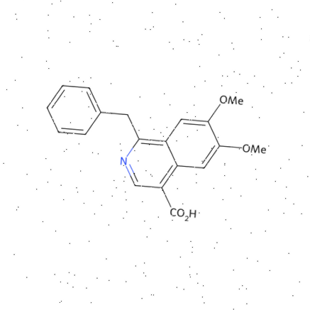 COc1cc2c(C(=O)O)cnc(Cc3ccccc3)c2cc1OC